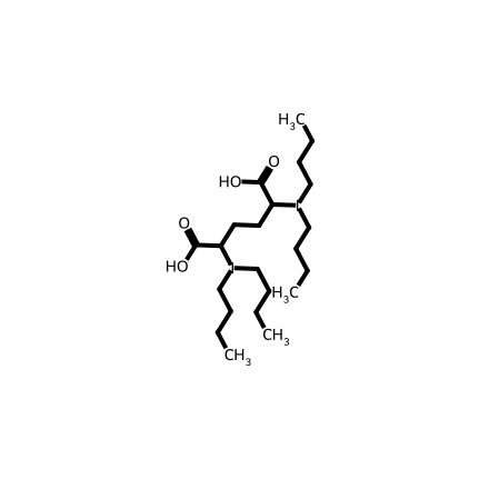 CCCCI(CCCC)C(CCC(C(=O)O)I(CCCC)CCCC)C(=O)O